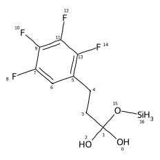 OC(O)(CCc1cc(F)c(F)c(F)c1F)O[SiH3]